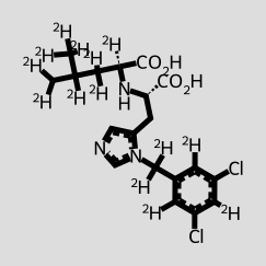 [2H]c1c(Cl)c([2H])c(C([2H])([2H])n2cncc2C[C@H](N[C@]([2H])(C(=O)O)C([2H])([2H])C([2H])(C([2H])[2H])C([2H])([2H])[2H])C(=O)O)c([2H])c1Cl